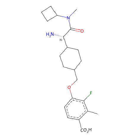 Cc1c(C(=O)O)ccc(OCC2CCC([C@H](N)C(=O)N(C)C3CCC3)CC2)c1F